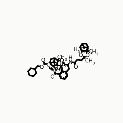 COc1c(CC(NC(=O)CCC2(C)OC3CC4CC(C4(C)C)C3(C)O2)B2OC3CC4CC(C4(C)C)C3(C)O2)cccc1C(=O)OCOC(=O)OCC1CCCCC1